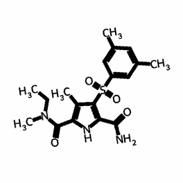 CCN(C)C(=O)c1[nH]c(C(N)=O)c(S(=O)(=O)c2cc(C)cc(C)c2)c1C